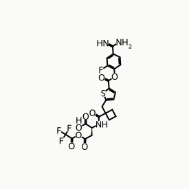 N=C(N)c1ccc(OC(=O)c2ccc(CC3(C(=O)N[C@@H](CC(=O)OC(=O)C(F)(F)F)C(=O)O)CCC3)s2)c(F)c1